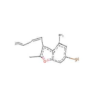 Bc1cc(S)cc2oc(C)c(/C=C\C=C)c12